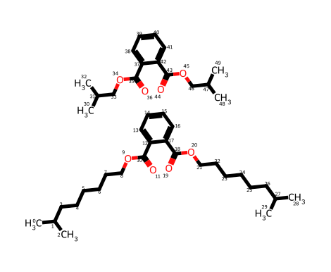 CC(C)CCCCCCOC(=O)c1ccccc1C(=O)OCCCCCCC(C)C.CC(C)COC(=O)c1ccccc1C(=O)OCC(C)C